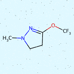 CN1[CH]CC(OC(F)(F)F)=N1